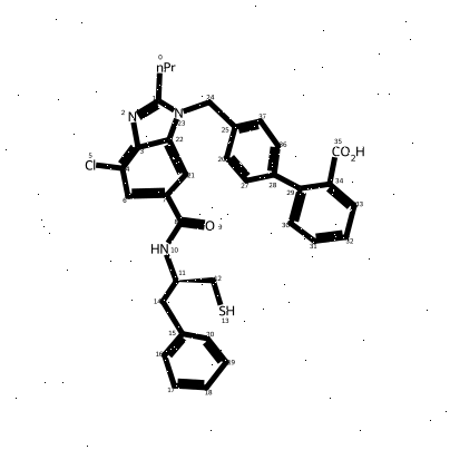 CCCc1nc2c(Cl)cc(C(=O)N[C@@H](CS)Cc3ccccc3)cc2n1Cc1ccc(-c2ccccc2C(=O)O)cc1